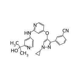 CC(C)(O)c1cc(Nc2cc(Oc3cn(C4CC4)nc3-c3cccc(C#N)c3)ccn2)ccn1